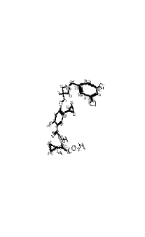 CC1(COc2cc(F)c(C(=O)NC(C(=O)O)C3CC3)cc2C2CC2)CN(Cc2cc(Cl)cc(Cl)c2)C1